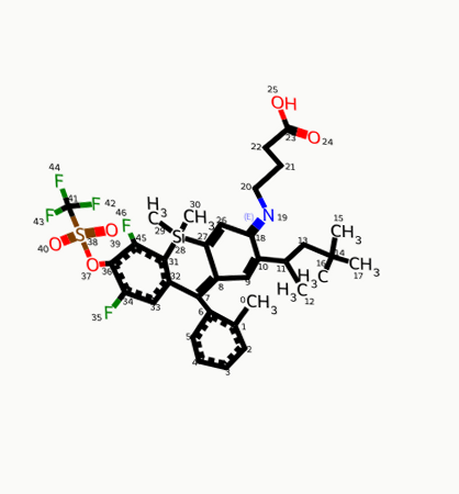 Cc1ccccc1C1=C2C=C(C(C)CC(C)(C)C)/C(=N/CCCC(=O)O)C=C2[Si](C)(C)c2c1cc(F)c(OS(=O)(=O)C(F)(F)F)c2F